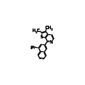 Cc1sc2c(-c3cc(C(C)C)c4ccccc4c3)nccc2c1C